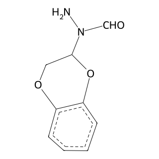 NN(C=O)C1COc2ccccc2O1